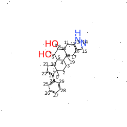 CC12CCC3C(C(O)C(O)C4Cc5[nH]ncc5CC43C)C1CC=C2c1ccccc1